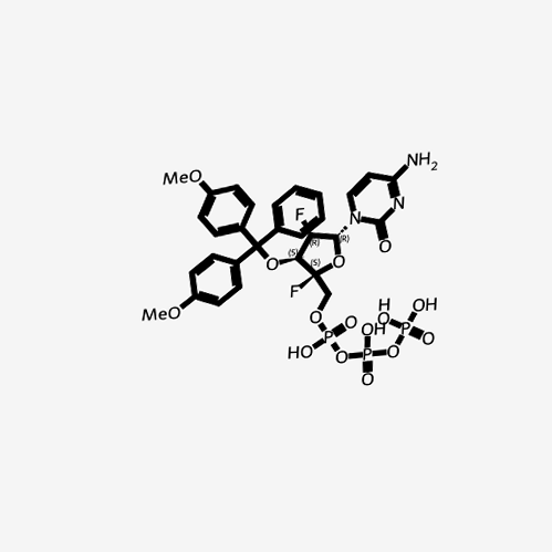 COc1ccc(C(O[C@H]2[C@@H](F)[C@H](n3ccc(N)nc3=O)O[C@]2(F)COP(=O)(O)OP(=O)(O)OP(=O)(O)O)(c2ccccc2)c2ccc(OC)cc2)cc1